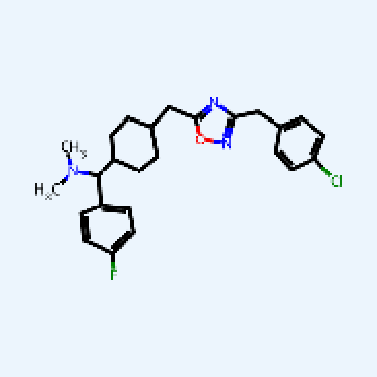 CN(C)C(c1ccc(F)cc1)C1CCC(Cc2nc(Cc3ccc(Cl)cc3)no2)CC1